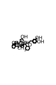 CCC12CCC(CC1OC(=N)[C@H]1CC(O)CN1C(=O)C(NC(=O)Cc1ccc(O)c(O)c1)C1CCCCC1)C2(C)C